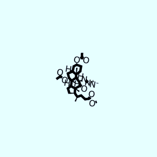 COC(=O)CC[C@@H](C)[C@H]1CC[C@H]2[C@H]3[C@H]([C@@H](N=[N+]=[N-])C(=O)[C@]12C)[C@@]1(C)CC[C@@H](OC(C)=O)C[C@H]1C[C@H]3OC(C)=O